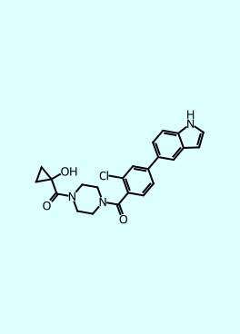 O=C(c1ccc(-c2ccc3[nH]ccc3c2)cc1Cl)N1CCN(C(=O)C2(O)CC2)CC1